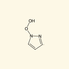 OOn1cc[c]n1